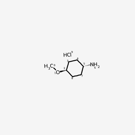 CO[C@H]1CC[C@H](N)CC1.Cl